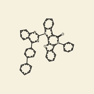 O=c1c2c3ccccc3n(-c3nc(-c4ccc(-c5ccccc5)cc4)c4ccccc4n3)c2c2oc3ccccc3c2n1-c1ccccc1